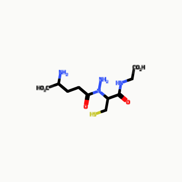 NC(CCC(=O)N(N)C(CS)C(=O)NCC(=O)O)C(=O)O